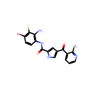 Nc1c(NC(=O)c2cc(C(=O)c3cccnc3C(F)(F)F)c[nH]2)ccc(Br)c1F